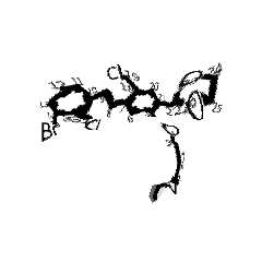 N#CCCOc1cc(C=Cc2cccc(Br)c2Cl)c(Cl)cc1C1OCCO1